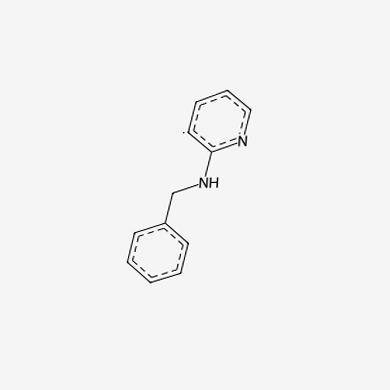 [c]1cccnc1NCc1ccccc1